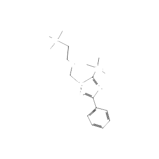 C[Si](C)(C)CCOCn1nc(-c2ccccc2)n[c]1[Sn]([CH3])([CH3])[CH3]